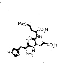 CSCC[C@H](NC(=O)[C@H](CCC(=O)O)NC(=O)[C@@H](N)Cc1c[nH]cn1)C(=O)O